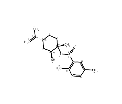 C=C(C)[C@@H]1CC[C@](C)(O[PH](=S)c2cc(C)ccc2C)[C@@H](S)C1